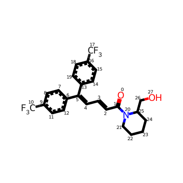 O=C(C=CC=C(c1ccc(C(F)(F)F)cc1)c1ccc(C(F)(F)F)cc1)N1CCCCC1CO